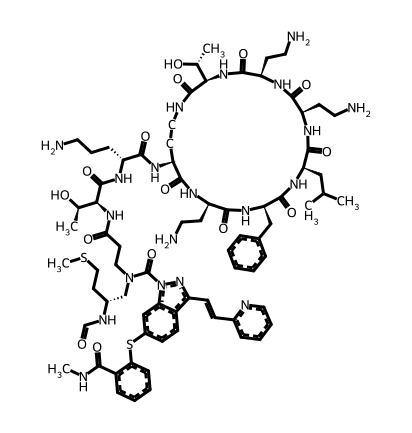 CNC(=O)c1ccccc1Sc1ccc2c(/C=C/c3ccccn3)nn(C(=O)N(CCC(=O)N[C@H](C(=O)N[C@H](CCCN)C(=O)N[C@H]3CCNC(=O)[C@@H]([C@@H](C)O)NC(=O)[C@@H](CCN)NC(=O)[C@@H](CCN)NC(=O)[C@@H](CC(C)C)NC(=O)[C@@H](Cc4ccccc4)NC(=O)[C@@H](CCN)NC3=O)[C@@H](C)O)C[C@@H](CCSC)NC=O)c2c1